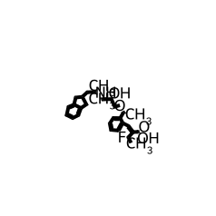 CCC(=Cc1c(F)cccc1[C@@H](C)OC[C@H](O)CNC(C)(C)CC1Cc2ccccc2C1)C(=O)O